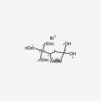 CCCCCCCCCC[N+](CCCCCCCCCC)(CCCCCCCCCC)C(CCCCCCCCC)CC(O)(O)O.[Br-]